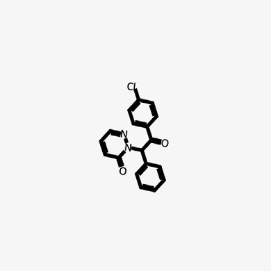 O=C(c1ccc(Cl)cc1)C(c1ccccc1)n1ncccc1=O